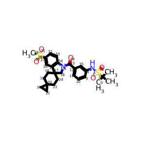 CC(C)(C)S(=O)(=O)Nc1cccc(C(=O)N2CC3(CCC4(CC4)CC3)c3cc(S(C)(=O)=O)ccc32)c1